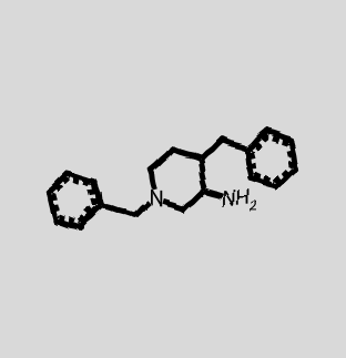 NC1CN(Cc2ccccc2)CCC1Cc1ccccc1